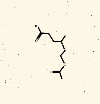 CC(=O)OCCC(C)CCC(=O)O